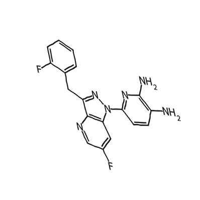 Nc1ccc(-n2nc(Cc3ccccc3F)c3ncc(F)cc32)nc1N